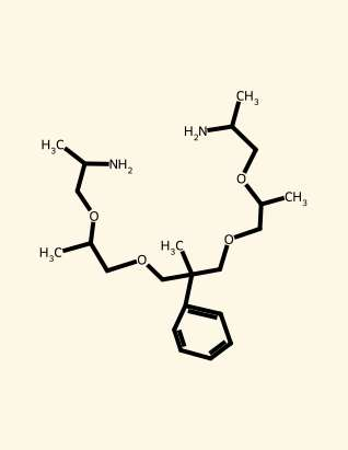 CC(N)COC(C)COCC(C)(COCC(C)OCC(C)N)c1ccccc1